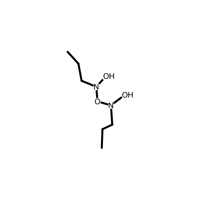 CCCN(O)ON(O)CCC